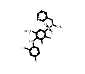 CN(Cc1cccnc1)S(=O)(=O)c1cc(C(=O)O)c(Nc2ccc(I)cc2Cl)c(F)c1F